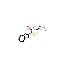 C=C1CSC(C2=Cc3ccccc3C2)C(=O)N1